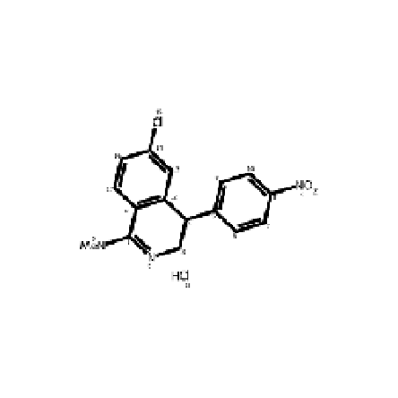 CNC1=NCC(c2ccc([N+](=O)[O-])cc2)c2cc(Cl)ccc21.Cl